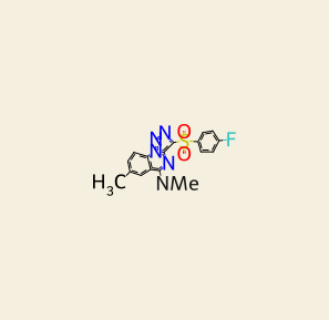 CNc1nc2c(S(=O)(=O)c3ccc(F)cc3)nnn2c2ccc(C)cc12